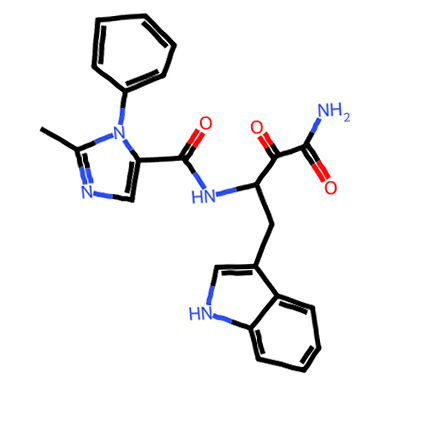 Cc1ncc(C(=O)NC(Cc2c[nH]c3ccccc23)C(=O)C(N)=O)n1-c1ccccc1